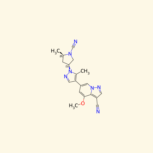 COc1cc(-c2cnn([C@H]3C[C@@H](C)N(C#N)C3)c2C)cn2ncc(C#N)c12